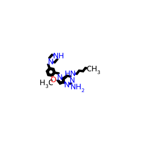 CCCCCNC1C=c2c(ccn2Cc2cc(CN3CCNCC3)ccc2OC)=NC(N)=N1